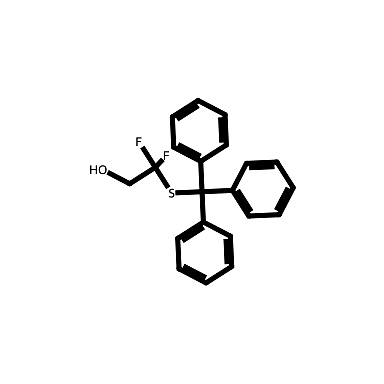 OCC(F)(F)SC(c1ccccc1)(c1ccccc1)c1ccccc1